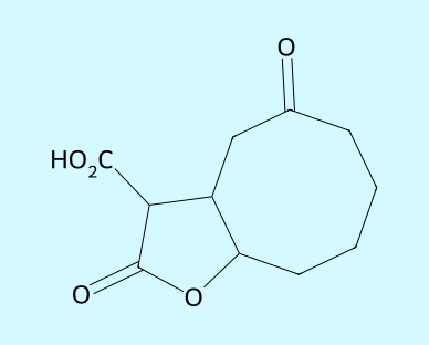 O=C1CCCCC2OC(=O)C(C(=O)O)C2C1